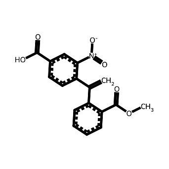 C=C(c1ccccc1C(=O)OC)c1ccc(C(=O)O)cc1[N+](=O)[O-]